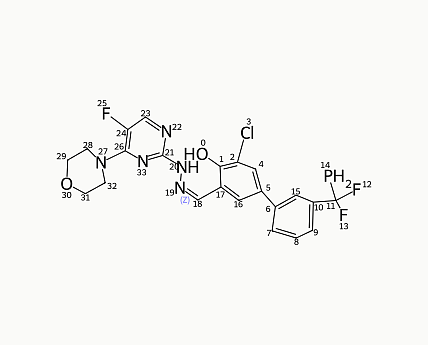 Oc1c(Cl)cc(-c2cccc(C(F)(F)P)c2)cc1/C=N\Nc1ncc(F)c(N2CCOCC2)n1